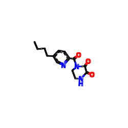 CCCCc1ccc(C(=O)N2CCNC(=O)C2=O)nc1